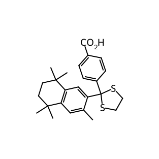 Cc1cc2c(cc1C1(c3ccc(C(=O)O)cc3)SCCS1)C(C)(C)CCC2(C)C